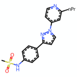 CCCc1cc(-n2ccc(-c3ccc(NS(C)(=O)=O)cc3)n2)ccn1